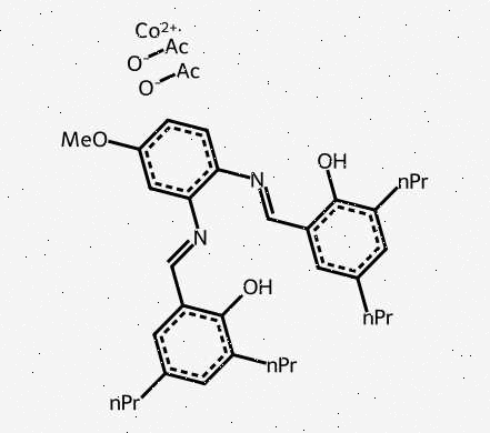 CC(=O)[O-].CC(=O)[O-].CCCc1cc(C=Nc2ccc(OC)cc2N=Cc2cc(CCC)cc(CCC)c2O)c(O)c(CCC)c1.[Co+2]